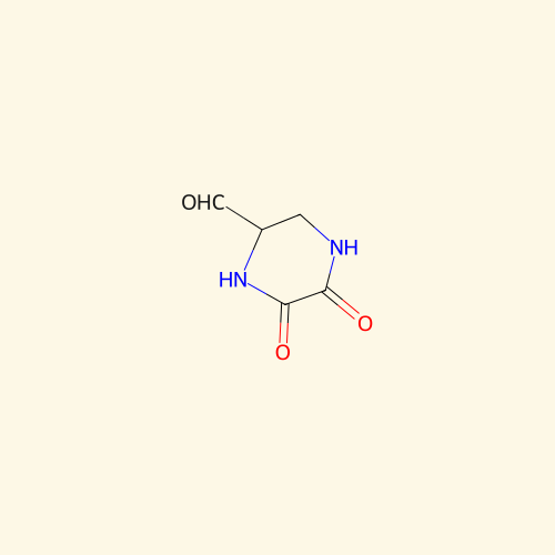 O=CC1CNC(=O)C(=O)N1